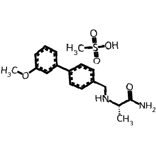 COc1cccc(-c2ccc(CN[C@@H](C)C(N)=O)cc2)c1.CS(=O)(=O)O